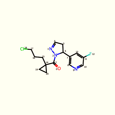 O=C(N1N=CCC1c1cncc(F)c1)C1(CCCCl)CC1